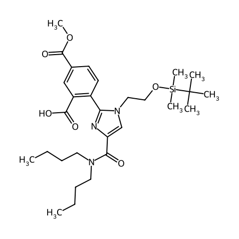 CCCCN(CCCC)C(=O)c1cn(CCO[Si](C)(C)C(C)(C)C)c(-c2ccc(C(=O)OC)cc2C(=O)O)n1